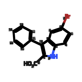 O=C(O)c1[nH]c2ccc(Br)cc2c1-c1ccccc1